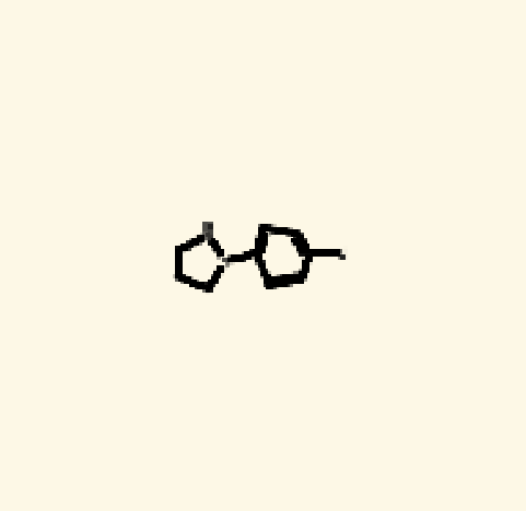 Clc1ccc(N2CCCN2)cc1